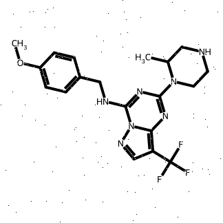 COc1ccc(CNc2nc(N3CCNCC3C)nc3c(C(F)(F)F)cnn23)cc1